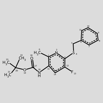 Cc1nc(SCc2ccccc2)c(F)cc1NC(=O)OC(C)(C)C